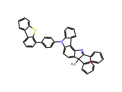 CC1(c2ccccc2)C(c2ccccc2)=Nc2c1ccc1c2c2ccccc2n1-c1ccc(-c2cccc3c2sc2ccccc23)cc1